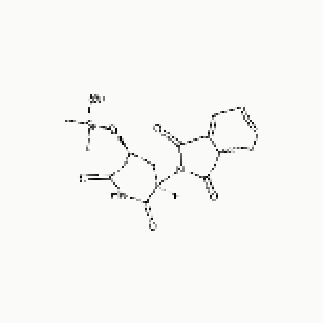 CC(C)(C)[Si](C)(C)O[C@H]1C[C@@](F)(N2C(=O)c3ccccc3C2=O)C(=O)NC1=O